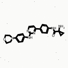 NC1(C(=O)Nc2ccc(-c3ccnc(Nc4ccc(N5CCOCC5)cc4)n3)cc2)CC1